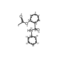 CC(=O)Oc1ccccc1C(=O)Nc1ccccc1